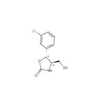 O=C1N[C@H](CO)[C@@H](c2cccc(Cl)c2)O1